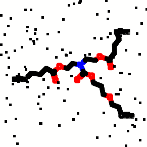 CCCCCCCCCCCCCC(=O)OCCN(CCOC(=O)CCCCCCCCCCCCC)C(=O)OCCCOCCOC